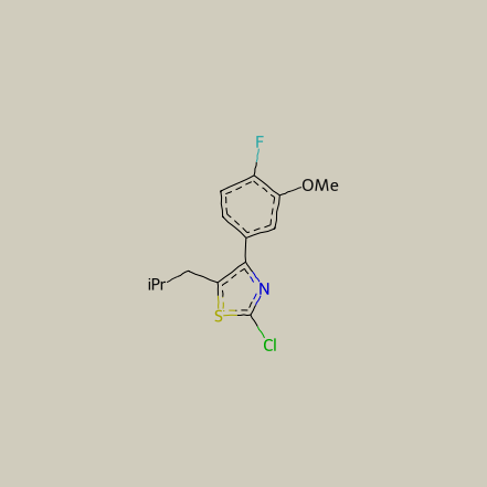 COc1cc(-c2nc(Cl)sc2CC(C)C)ccc1F